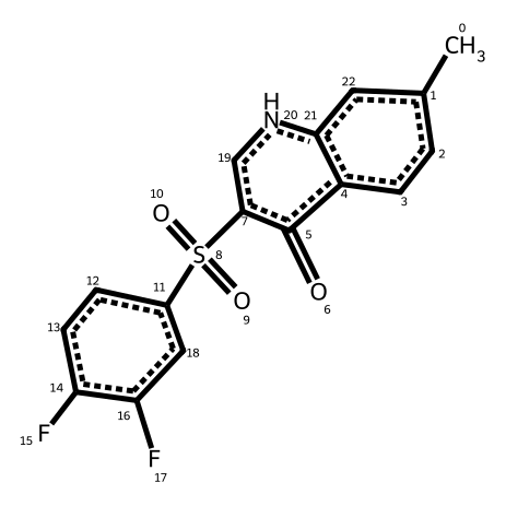 Cc1ccc2c(=O)c(S(=O)(=O)c3ccc(F)c(F)c3)c[nH]c2c1